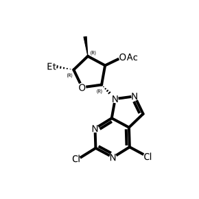 CC[C@H]1O[C@@H](n2ncc3c(Cl)nc(Cl)nc32)C(OC(C)=O)[C@@H]1C